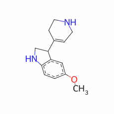 COc1ccc2c(c1)C(C1=CCNCC1)CN2